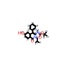 CC(C)Cn1c(N(C)C(=O)OC(C)(C)C)c(-c2ccccc2)c2cc(O)ccc2c1=O